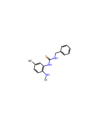 CCNc1ccc(C#N)cc1NC(=S)NCc1ccccc1